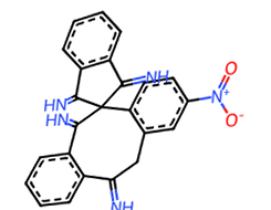 N=C1Cc2cc([N+](=O)[O-])ccc2C2(C(=N)c3ccccc31)C(=N)c1ccccc1C2=N